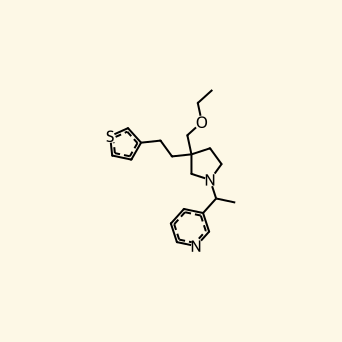 CCOCC1(CCc2ccsc2)CCN(C(C)c2cccnc2)C1